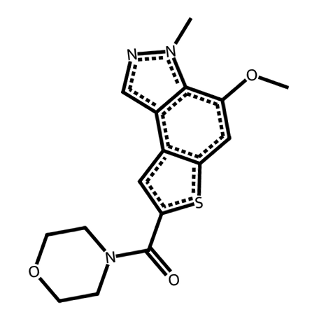 COc1cc2sc(C(=O)N3CCOCC3)cc2c2cnn(C)c12